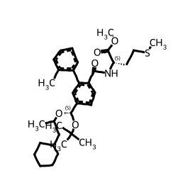 COC(=O)[C@H](CCSC)NC(=O)c1ccc([C@@H](OC(C)CC2CCCCC2)OC(C)(C)C)cc1-c1ccccc1C